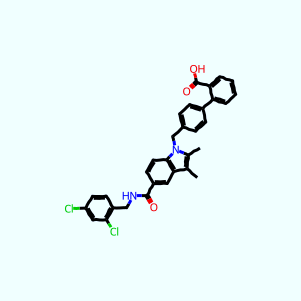 Cc1c(C)n(Cc2ccc(-c3ccccc3C(=O)O)cc2)c2ccc(C(=O)NCc3ccc(Cl)cc3Cl)cc12